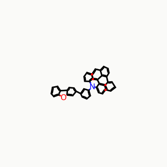 c1ccc(-c2cccc3cccc(-c4ccccc4N(c4ccccc4)c4cccc(-c5ccc6c(c5)oc5ccccc56)c4)c23)cc1